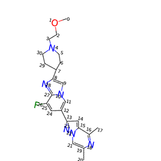 COCCN1CCC(c2cn3cc(-c4cc5c(C)nc(C)cn5n4)cc(F)c3n2)CC1